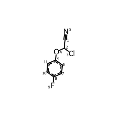 N#CC(Cl)Oc1ccc(F)cc1